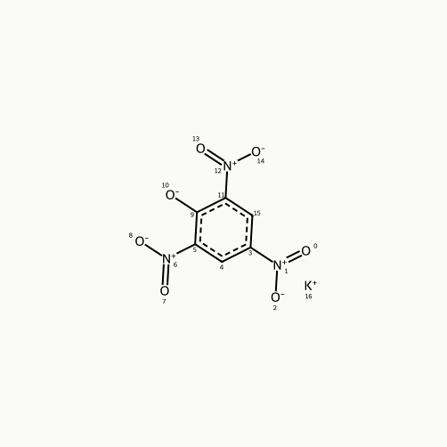 O=[N+]([O-])c1cc([N+](=O)[O-])c([O-])c([N+](=O)[O-])c1.[K+]